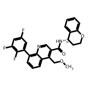 COCc1c(C(=O)N[C@H]2CCOc3ccccc32)cnc2c(-c3cc(F)cc(F)c3F)cccc12